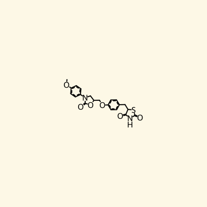 COc1ccc(N2CC(COc3ccc(CC4SC(=O)NC4=O)cc3)OC2=O)cc1